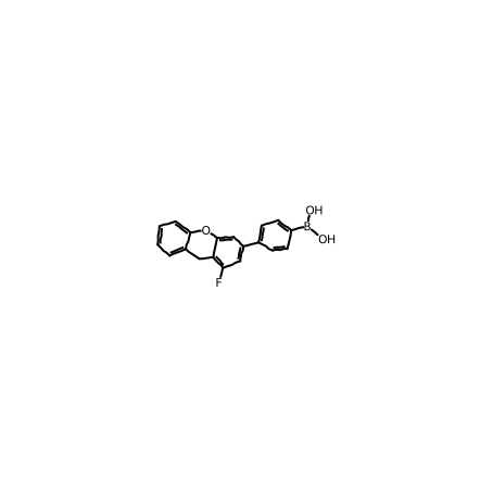 OB(O)c1ccc(-c2cc(F)c3c(c2)Oc2ccccc2C3)cc1